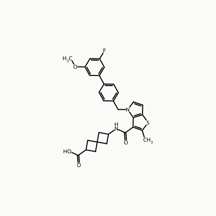 COc1cc(F)cc(-c2ccc(Cn3ccc4sc(C)c(C(=O)NC5CC6(C5)CC(C(=O)O)C6)c43)cc2)c1